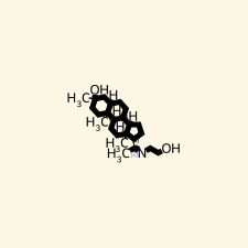 C/C(=N/CCO)[C@H]1CC[C@H]2[C@@H]3CC[C@H]4C[C@](C)(O)CC[C@]4(C)[C@H]3CC[C@]12C